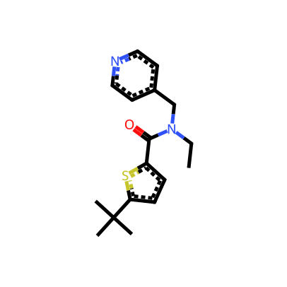 CCN(Cc1ccncc1)C(=O)c1ccc(C(C)(C)C)s1